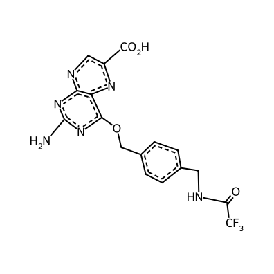 Nc1nc(OCc2ccc(CNC(=O)C(F)(F)F)cc2)c2nc(C(=O)O)cnc2n1